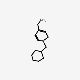 NCC1=CCN(CC2CCCCC2)C=C1